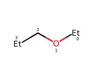 [CH]COCCC